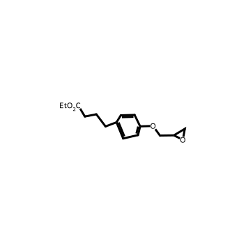 CCOC(=O)CCCc1ccc(OCC2CO2)cc1